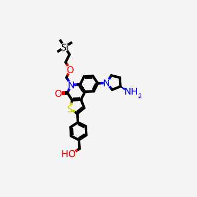 C[Si](C)(C)CCOCn1c(=O)c2sc(-c3ccc(CO)cc3)cc2c2cc(N3CC[C@@H](N)C3)ccc21